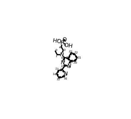 CCN(CCP(=O)(O)O)c1nc(-c2ccccn2)nc2ccccc12